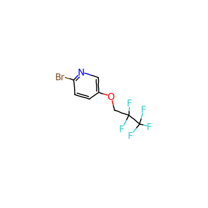 FC(F)(F)C(F)(F)COc1ccc(Br)nc1